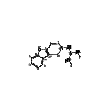 CBN(BC)BN1C=Cc2oc3ccccc3c2C1